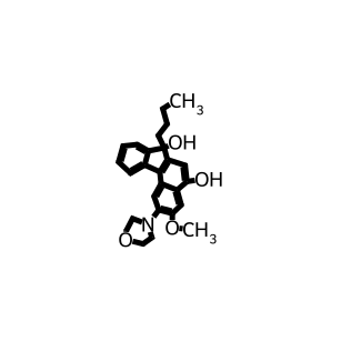 CCCCC1(O)c2ccccc2-c2c1cc(O)c1cc(OC)c(N3CCOCC3)cc21